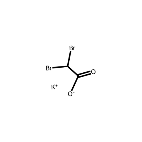 O=C([O-])C(Br)Br.[K+]